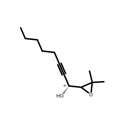 CCCCCC#C[C@@H](O)C1OC1(C)C